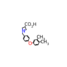 Cc1ccc(Oc2ccc(CN3CC(C(=O)O)C3)cc2)cc1C